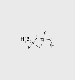 BC(C)(C)CC(C)(C)CF